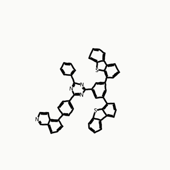 c1ccc(-c2nc(-c3ccc(-c4cccc5cnccc45)cc3)nc(-c3cc(-c4cccc5c4sc4ccccc45)cc(-c4cccc5c4sc4ccccc45)c3)n2)cc1